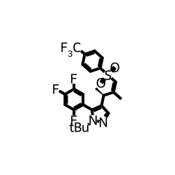 C/C(=C/S(=O)(=O)c1ccc(C(F)(F)F)cc1)[C@H](C)c1cnn(C(C)(C)C)c1-c1cc(F)c(F)cc1F